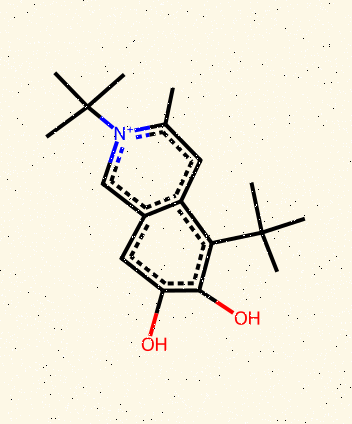 Cc1cc2c(C(C)(C)C)c(O)c(O)cc2c[n+]1C(C)(C)C